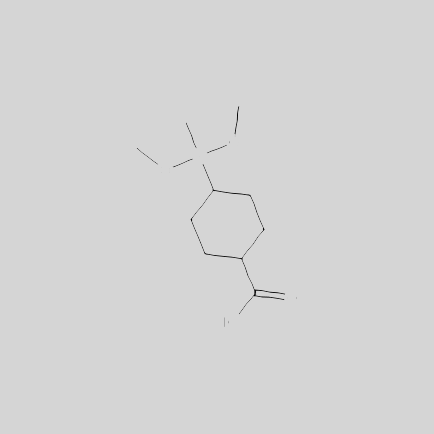 CO[Si](C)(OC)C1CCC(C(=O)O)CC1